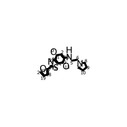 O=C1C=C(NCCN2CCCC2)C(=O)c2sc(-c3ccco3)nc21